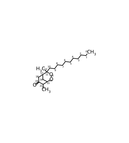 CCCCCCCCCCCC1(C)OOC2CC1CC(=O)C2C